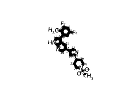 Cc1c(F)cc(F)cc1-c1c[nH]c2ncc(-c3cnn(C4CCN(S(C)(=O)=O)CC4)c3)cc12